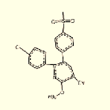 CCCCOc1nc(-c2ccc(Cl)cc2)c(-c2ccc(S(C)(=O)=O)cc2)cc1C#N